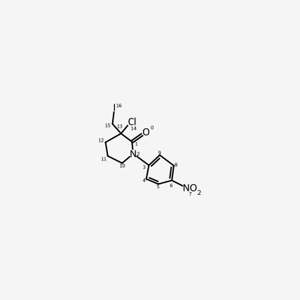 O=C1N(c2ccc([N+](=O)[O-])cc2)CCCC1(Cl)CI